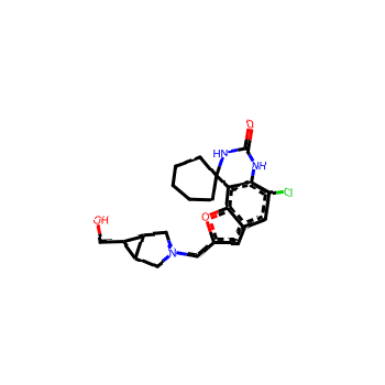 O=C1Nc2c(Cl)cc3cc(CN4CC5C(CO)C5C4)oc3c2C2(CCCCC2)N1